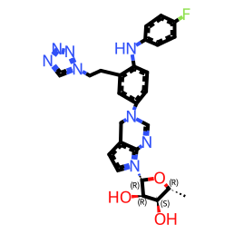 C[C@H]1O[C@@H](n2ccc3c2N=CN(c2ccc(Nc4ccc(F)cc4)c(CCn4cnnn4)c2)C3)[C@H](O)[C@@H]1O